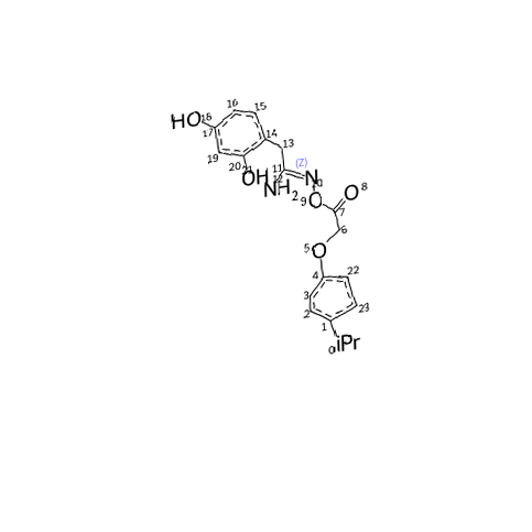 CC(C)c1ccc(OCC(=O)O/N=C(\N)Cc2ccc(O)cc2O)cc1